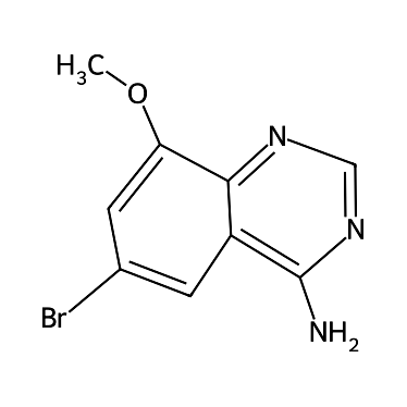 COc1cc(Br)cc2c(N)ncnc12